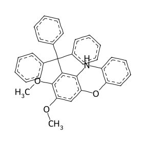 COc1cc2c(c(C(c3ccccc3)(c3ccccc3)c3ccccc3)c1OC)Nc1ccccc1O2